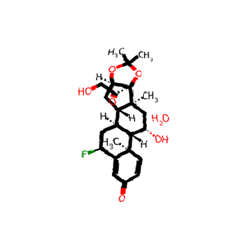 CC1(C)O[C@@H]2C[C@H]3[C@@H]4C[C@H](F)C5=CC(=O)C=C[C@]5(C)[C@H]4[C@@H](O)C[C@]3(C)[C@]2(C(=O)CO)O1.O